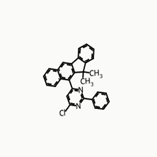 CC1(C)c2ccccc2-c2cc3ccccc3c(-c3cc(Cl)nc(-c4ccccc4)n3)c21